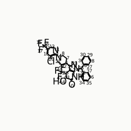 O=C1Nc2c(c(C3CCN(c4ncc(C(F)(F)F)cc4Cl)CC3)nn2C(c2ccccc2)c2ccccc2)[C@H](C(F)(F)F)[C@@H]1O